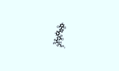 CC(C)C(NC(=O)CN)C(=O)CCN(C(=O)C(Cl)Cl)c1ccnc(-c2cc(-c3c(Cl)cccc3Cl)no2)c1